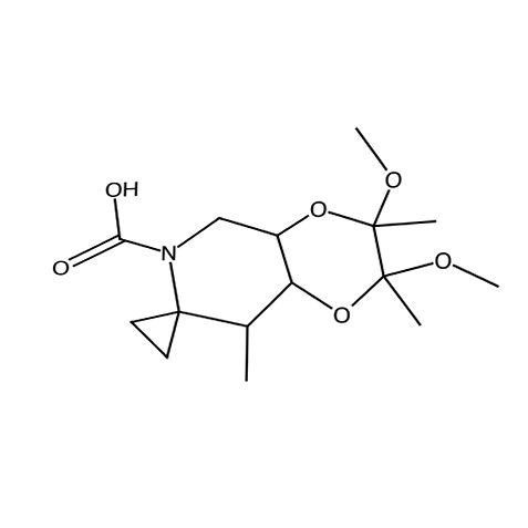 COC1(C)OC2CN(C(=O)O)C3(CC3)C(C)C2OC1(C)OC